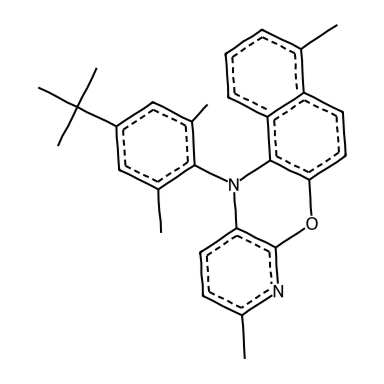 Cc1ccc2c(n1)Oc1ccc3c(C)cccc3c1N2c1c(C)cc(C(C)(C)C)cc1C